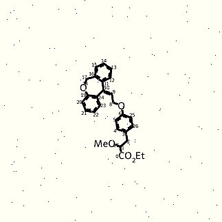 CCOC(=O)C(Cc1ccc(OC/C=C2/c3ccccc3COc3ccccc32)cc1)OC